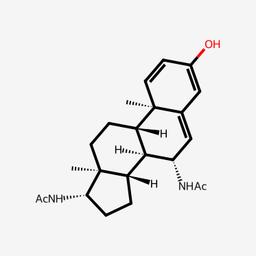 CC(=O)N[C@H]1C=C2C=C(O)C=C[C@]2(C)[C@H]2CC[C@]3(C)[C@@H](NC(C)=O)CC[C@H]3[C@H]12